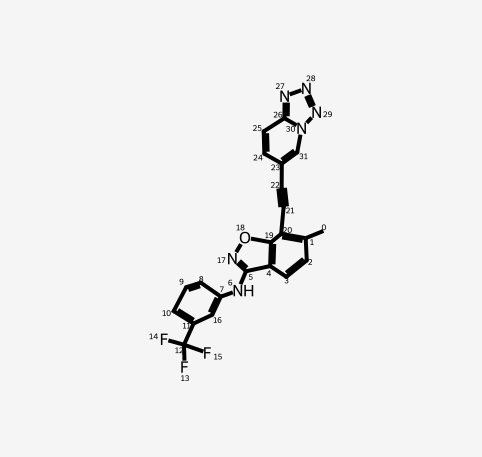 Cc1ccc2c(Nc3cccc(C(F)(F)F)c3)noc2c1C#Cc1ccc2nnnn2c1